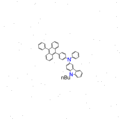 CCCCn1c2ccccc2c2cc(N(c3ccccc3)c3ccc(-c4c5ccccc5c(-c5ccccc5)c5ccccc45)cc3)ccc21